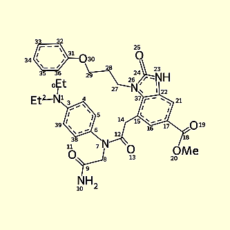 CCN(CC)c1ccc(N(CC(N)=O)C(=O)Cc2cc(C(=O)OC)cc3[nH]c(=O)n(CCCOc4ccccc4)c23)cc1